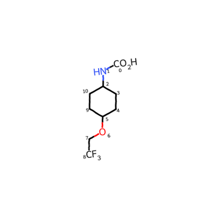 O=C(O)NC1CCC(OCC(F)(F)F)CC1